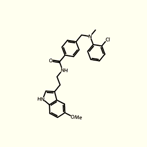 COc1ccc2[nH]cc(CCNC(=O)c3ccc(CN(C)c4ccccc4Cl)cc3)c2c1